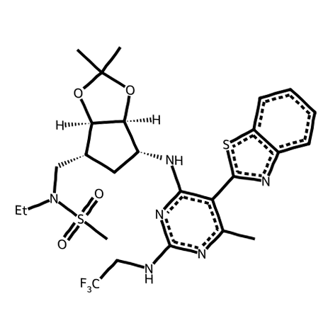 CCN(C[C@H]1C[C@@H](Nc2nc(NCC(F)(F)F)nc(C)c2-c2nc3ccccc3s2)[C@@H]2OC(C)(C)O[C@H]12)S(C)(=O)=O